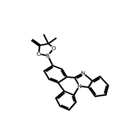 C=C1OB(c2ccc3c4ccccc4n4c5ccccc5nc4c3c2)OC1(C)C